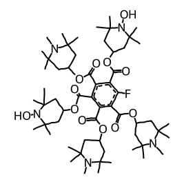 CN1C(C)(C)CC(OC(=O)c2c(F)c(C(=O)OC3CC(C)(C)N(O)C(C)(C)C3)c(C(=O)OC3CC(C)(C)N(C)C(C)(C)C3)c(C(=O)OC3CC(C)(C)N(O)C(C)(C)C3)c2C(=O)OC2CC(C)(C)N(C)C(C)(C)C2)CC1(C)C